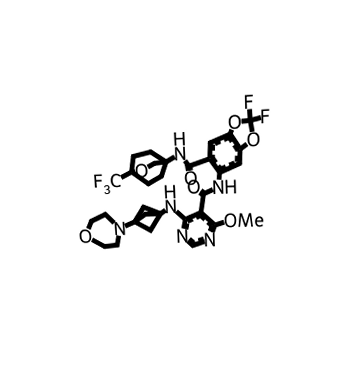 COc1ncnc(NC23CC(N4CCOCC4)(C2)C3)c1C(=O)Nc1cc2c(cc1C(=O)NC13CCC(C(F)(F)F)(CC1)OC3)OC(F)(F)O2